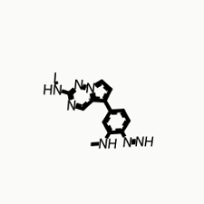 CNc1cc(-c2ccn3nc(NI)ncc23)ccc1N=N